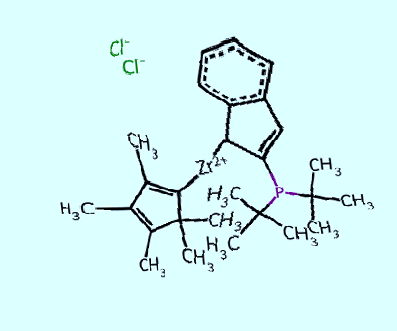 CC1=C(C)C(C)(C)[C]([Zr+2][CH]2C(P(C(C)(C)C)C(C)(C)C)=Cc3ccccc32)=C1C.[Cl-].[Cl-]